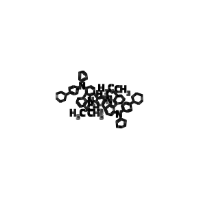 CC(C)(C)C1=CCCc2c1n1c3cc4c5ccc(N(c6ccccc6)c6ccc(C7CCCCC7)cc6)c6c7cccc(C(C)(C)C)c7n(c4cc3c3ccc(N(c4ccccc4)c4ccc(C7CCCCC7)cc4)c2c31)c56